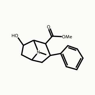 COC(=O)C1C(c2ccccc2)CC2CC(O)C1N2C